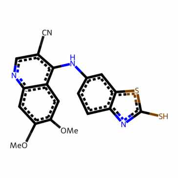 COc1cc2ncc(C#N)c(Nc3ccc4nc(S)sc4c3)c2cc1OC